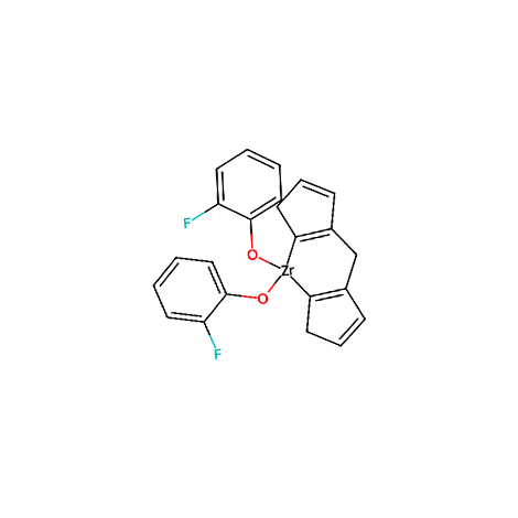 Fc1ccccc1[O][Zr]1([O]c2ccccc2F)[C]2=C(C=CC2)CC2=[C]1CC=C2